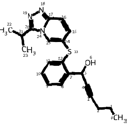 CCCC#CC(O)c1ccccc1Sc1ccc2nnc(C(C)C)n2c1